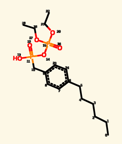 CCCCCCc1ccc(CP(=O)(O)OP(=O)(OCC)OCC)cc1